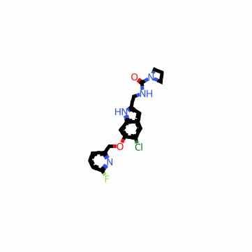 O=C(NCc1cc2cc(Cl)c(OCc3cccc(F)n3)cc2[nH]1)N1CCC1